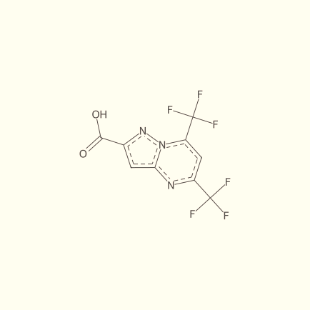 O=C(O)c1cc2nc(C(F)(F)F)cc(C(F)(F)F)n2n1